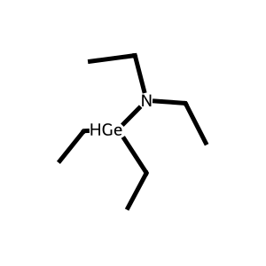 CC[N](CC)[GeH]([CH2]C)[CH2]C